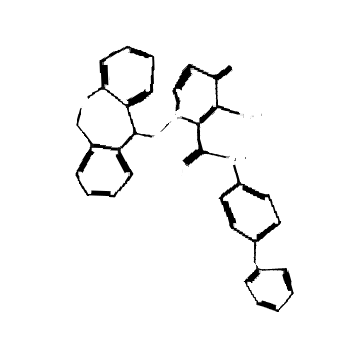 O=C(Nc1ccc(-c2ccccc2)cc1)c1c(O)c(=O)ccn1NC1c2ccccc2COc2ccccc21